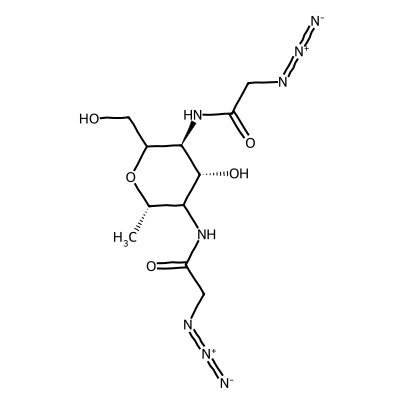 C[C@@H]1OC(CO)[C@@H](NC(=O)CN=[N+]=[N-])[C@H](O)C1NC(=O)CN=[N+]=[N-]